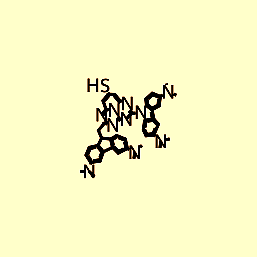 CN(C)c1ccc2c(c1)-c1cc(N(C)C)ccc1C2CC1=NC2=NC(n3c4ccc(N(C)C)cc4c4cc(N(C)C)ccc43)=NC3=CC(S)=CC(=N1)N32